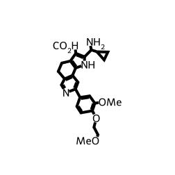 COCCOc1ccc(-c2cc3c(cn2)CCc2c-3[nH]c(C(N)C3CC3)c2C(=O)O)cc1OC